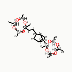 C[SiH]1O[SiH](C)O[Si](C)(CCC2CC3CC2CC3[Si]2(C)O[SiH](C)O[SiH](C)O[SiH](C)O2)O[SiH](C)O1